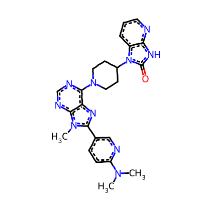 CN(C)c1ccc(-c2nc3c(N4CCC(n5c(=O)[nH]c6ncccc65)CC4)ncnc3n2C)cn1